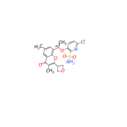 Cc1cc([C@@H](C)Oc2ccc(Cl)nc2S(N)(=O)=O)c2oc(C3COC3)c(C)c(=O)c2c1